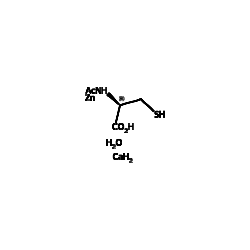 CC(=O)N[C@@H](CS)C(=O)O.O.[CaH2].[Zn]